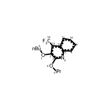 CCCCOc1c(OC(C)C)nc2ccccc2c1C(F)(F)F